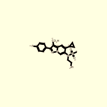 CC(C)CCN(c1cn2nc(-c3ccc(F)cc3)c(C(=O)O)c2cc1C1CC1)S(C)(=O)=O